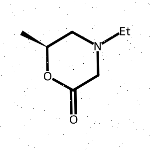 CCN1CC(=O)O[C@@H](C)C1